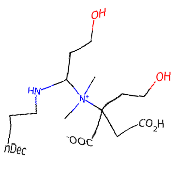 CCCCCCCCCCCCNC(CCO)[N+](C)(C)C(CCO)(CC(=O)O)C(=O)[O-]